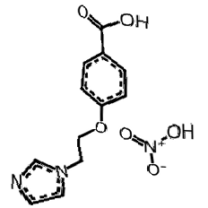 O=C(O)c1ccc(OCCn2ccnc2)cc1.O=[N+]([O-])O